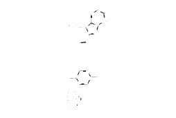 CNc1c(C(=O)NCCc2cc(F)c(N3CC4CC(C3)N4)cc2F)sc2nc(C)ccc12